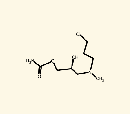 CN(CCCCl)C[C@H](O)COC(N)=O